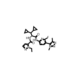 CCn1nccc1C(=O)N[C@H](C(=O)Nc1ccc(-c2c(C)nnn2C)c(F)n1)C(C1CC1)C1CC1